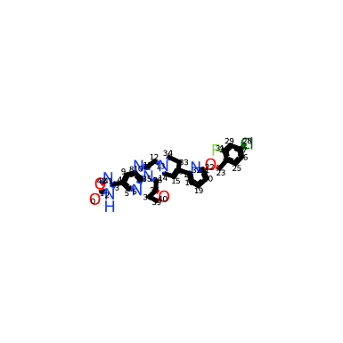 O=c1[nH]c(-c2cnc3c(c2)nc(CN2CC=C(c4cccc(OCc5ccc(Cl)cc5F)n4)CC2)n3CC2CCO2)no1